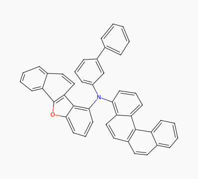 c1ccc(-c2cccc(N(c3cccc4c3ccc3ccc5ccccc5c34)c3cccc4oc5c6ccccc6ccc5c34)c2)cc1